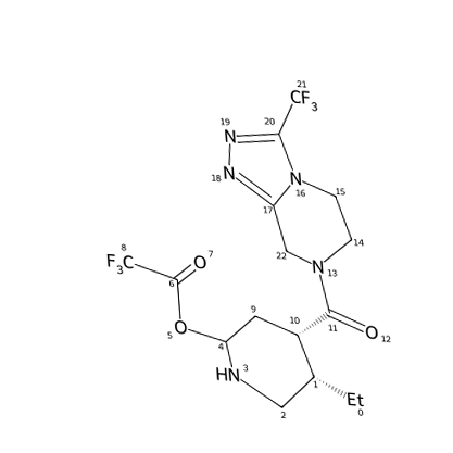 CC[C@@H]1CNC(OC(=O)C(F)(F)F)C[C@@H]1C(=O)N1CCn2c(nnc2C(F)(F)F)C1